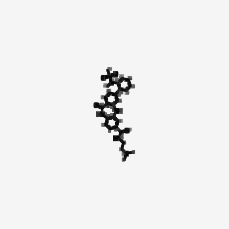 CN(C)CCNC(=O)c1ccc2c(c1)Nc1cc(-c3ccccc3N(C)S(C)(=O)=O)ccc1C(=O)N2